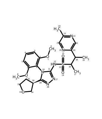 COc1cccc(OC)c1-n1c(NS(=O)(=O)C(C)C(C)c2cnc(C)cn2)nnc1[C@@H]1CCOC1